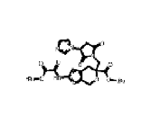 CC(C)(C)OC(=O)C(=O)Nc1cc2c(s1)COC(CN1C(=O)CC(n3ccnc3)C1=O)(C(=O)OC(C)(C)C)C2